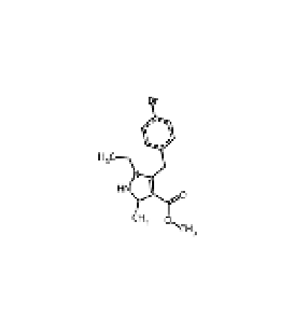 CCN1NC(C)C(C(=O)OC)=C1Cc1ccc(Br)cc1